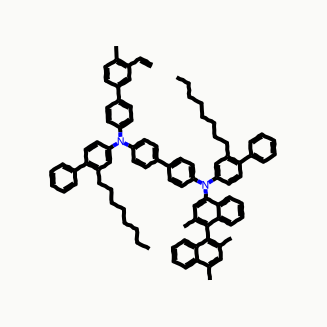 C=Cc1cc(-c2ccc(N(c3ccc(-c4ccc(N(c5ccc(-c6ccccc6)c(CCCCCCCC)c5)c5cc(C)c(-c6c(C)cc(C)c7ccccc67)c6ccccc56)cc4)cc3)c3ccc(-c4ccccc4)c(CCCCCCCC)c3)cc2)ccc1C